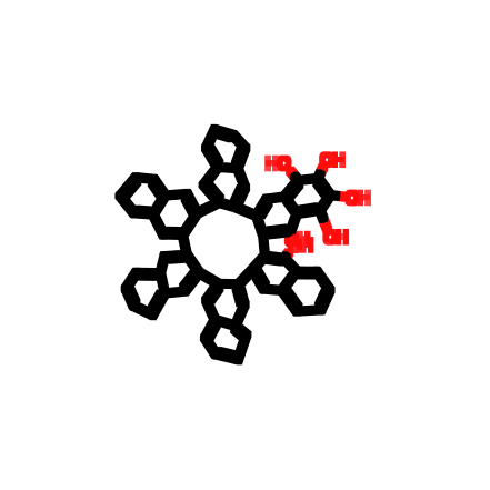 Oc1c(O)c(O)c2c(O)c3c(cc2c1O)-c1cc2ccccc2cc1-c1cc2ccccc2cc1-c1cc2ccccc2cc1-c1cc2ccccc2cc1-c1cc2ccccc2c(O)c1-3